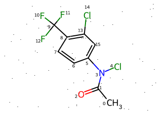 CC(=O)N(Cl)c1ccc(C(F)(F)F)c(Cl)c1